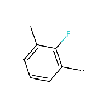 [CH2]c1cccc(C)c1F